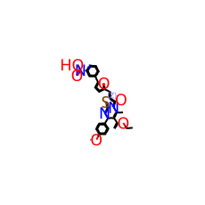 C=C(OCC)C1=C(C)n2c(s/c(=C\c3ccc(-c4cccc([N+](=O)O)c4)o3)c2=O)=NC1c1ccc(OC)cc1